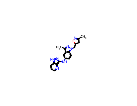 CC1=NOC(Cn2nc(C)c3cc(Nc4n[nH]c5cccnc45)ccc32)C1